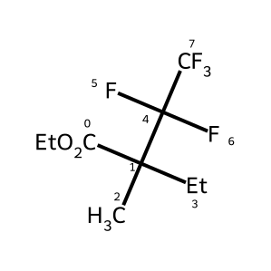 CCOC(=O)C(C)(CC)C(F)(F)C(F)(F)F